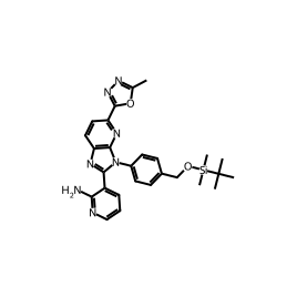 Cc1nnc(-c2ccc3nc(-c4cccnc4N)n(-c4ccc(CO[Si](C)(C)C(C)(C)C)cc4)c3n2)o1